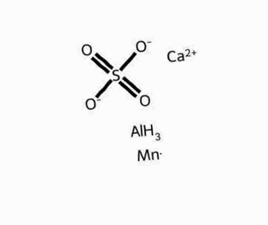 O=S(=O)([O-])[O-].[AlH3].[Ca+2].[Mn]